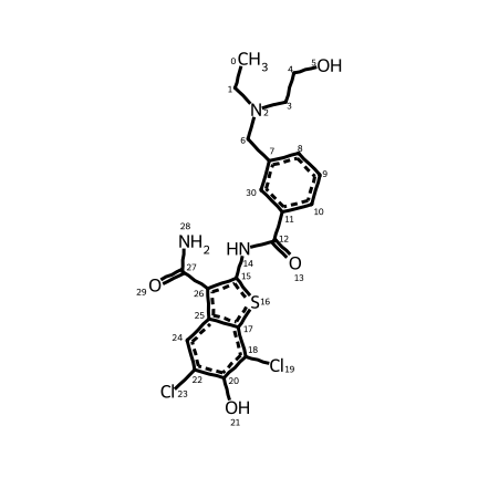 CCN(CCO)Cc1cccc(C(=O)Nc2sc3c(Cl)c(O)c(Cl)cc3c2C(N)=O)c1